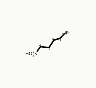 CC(C)CCCCS(=O)(=O)O